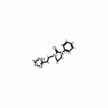 O=C1N(CCc2nnn[nH]2)CCN1c1ccccc1